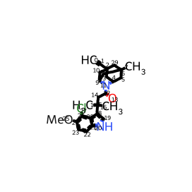 C#CC12CC3CC(C)(CC(C1)N3C(=O)CC(C)(C)c1c[nH]c3ccc(OC)c(Cl)c13)C2